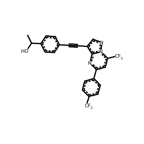 CC(O)c1ccc(C#Cc2cnn3c(C(F)(F)F)cc(-c4ccc(C(F)(F)F)cc4)nc23)cc1